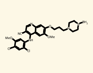 BN1CCN(CCCOc2cc3ncc(C#N)c(Nc4cc(OC)c(Cl)cc4Cl)c3cc2OC)CC1